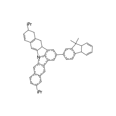 CC(C)c1ccc2cc3c(cc2c1)c1cc(-c2ccc4c(c2)C(C)(C)C2C=CC=CC42)cc2c1n3C1=CC3=C(CC12)CC(C(C)C)C=C3